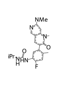 CNc1cc2c(cn1)cc(-c1cc(NC(=O)NC(C)C)c(F)cc1C)c(=O)n2C